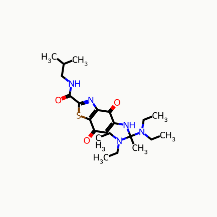 CCN(CC)C(C)(NC1=CC(=O)c2sc(C(=O)NCC(C)C)nc2C1=O)N(CC)CC